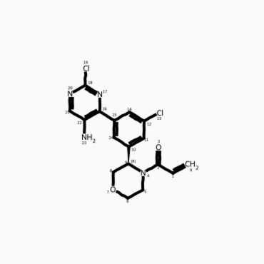 C=CC(=O)N1CCOC[C@H]1c1cc(Cl)cc(-c2nc(Cl)ncc2N)c1